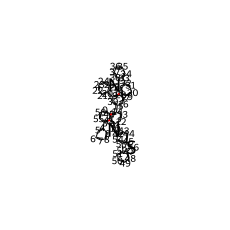 c1ccc(-c2ccccc2N(c2ccc(-c3cccc(-c4ccccc4-n4c5ccccc5c5ccccc54)c3)cc2)c2ccc3sc4ccccc4c3c2)cc1